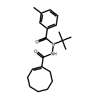 Cc1cccc(C(=O)N(NC(=O)C2=CCCCCCC2)C(C)(C)C)c1